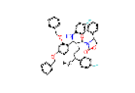 C[C@@H](CC[C@@H](C(=O)N1C(=O)OC[C@@H]1c1ccccc1)[C@H](Nc1ccc(F)cc1)c1ccc(OCc2ccccc2)cc1OCc1ccccc1)c1ccc(F)cc1